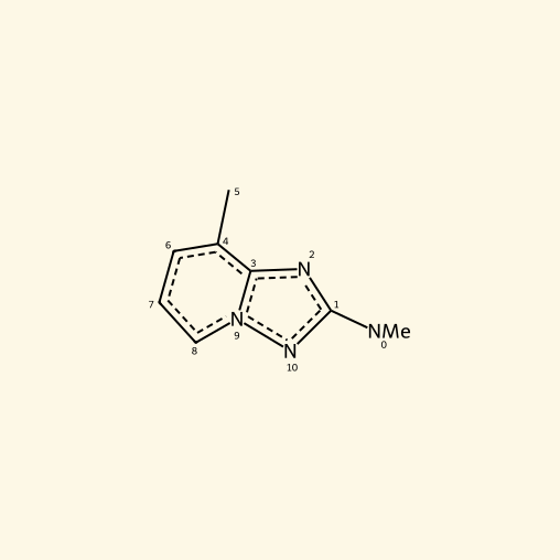 CNc1nc2c(C)cccn2n1